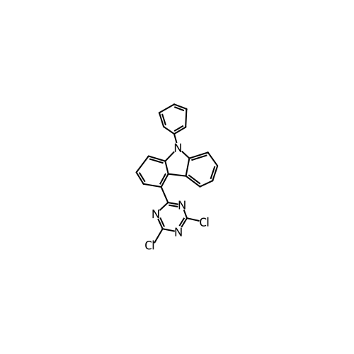 Clc1nc(Cl)nc(-c2cccc3c2c2ccccc2n3-c2ccccc2)n1